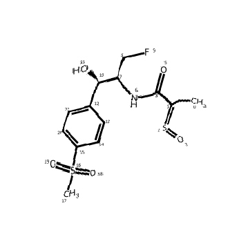 CC(=S=O)C(=O)N[C@H](CF)[C@H](O)c1ccc(S(C)(=O)=O)cc1